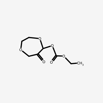 CCOC(=O)OC1OCCOCC1=O